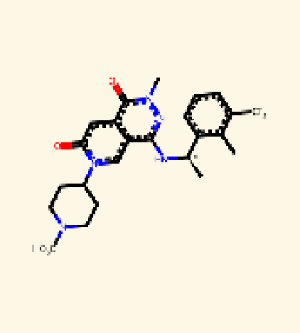 Cc1c([C@@H](C)Nc2nn(C)c(=O)c3cc(=O)n(C4CCN(C(=O)O)CC4)cc23)cccc1C(F)(F)F